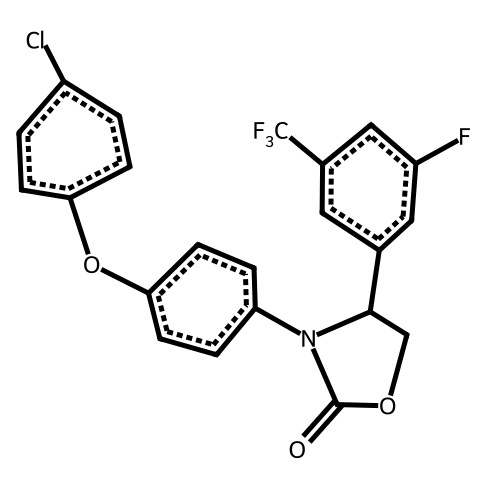 O=C1OCC(c2cc(F)cc(C(F)(F)F)c2)N1c1ccc(Oc2ccc(Cl)cc2)cc1